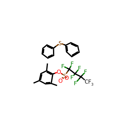 Cc1cc(C)c(OS(=O)(=O)C(F)(F)C(F)(F)C(F)(F)C(F)(F)F)c(C)c1.c1ccc(Sc2ccccc2)cc1